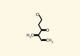 C=CC(=C)C(=O)CCCl